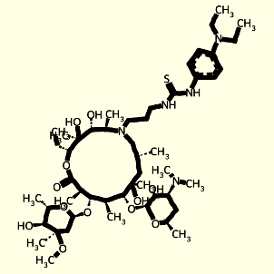 CC[C@H]1OC(=O)[C@H](C)[C@@H](O[C@H]2C[C@@](C)(OC)[C@@H](O)[C@H](C)O2)[C@H](C)[C@@H](O[C@@H]2O[C@H](C)C[C@H](N(C)C)[C@H]2O)[C@](C)(O)C[C@@H](C)CN(CCCNC(=S)Nc2ccc(N(CC)CC)cc2)[C@H](C)[C@@H](O)[C@]1(C)O